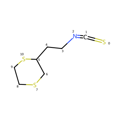 S=C=NCCC1CSCCS1